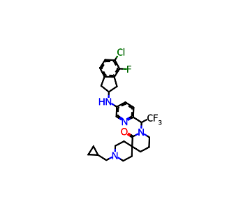 O=C1N(C(c2ccc(NC3Cc4ccc(Cl)c(F)c4C3)cn2)C(F)(F)F)CCCC12CCN(CC1CC1)CC2